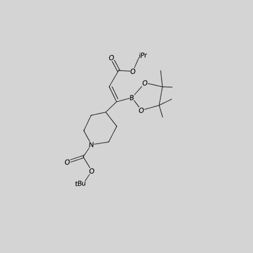 CC(C)OC(=O)C=C(B1OC(C)(C)C(C)(C)O1)C1CCN(C(=O)OC(C)(C)C)CC1